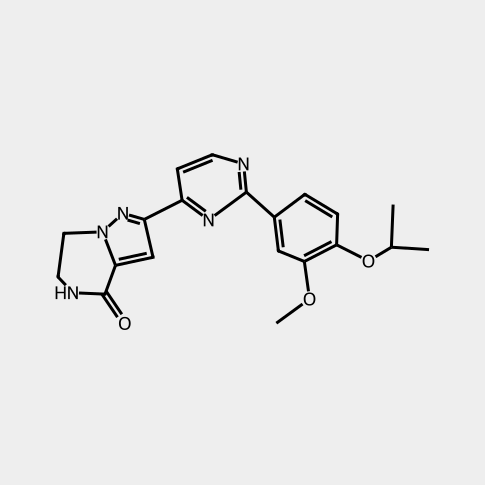 COc1cc(-c2nccc(-c3cc4n(n3)CCNC4=O)n2)ccc1OC(C)C